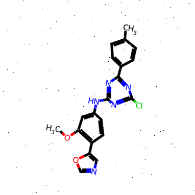 COc1cc(Nc2nc(Cl)nc(-c3ccc(C)cc3)n2)ccc1-c1cnco1